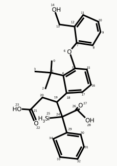 CC(C)(C)c1c(Oc2ccccc2CO)cccc1C(CC(=O)O)C([SiH3])(C(=O)O)c1ccccc1